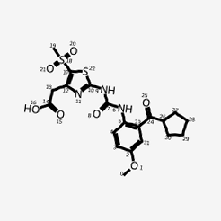 COc1ccc(NC(=O)Nc2nc(CC(=O)O)c(S(C)(=O)=O)s2)c(C(=O)C2CCCC2)c1